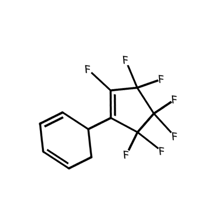 FC1=C(C2C=CC=CC2)C(F)(F)C(F)(F)C1(F)F